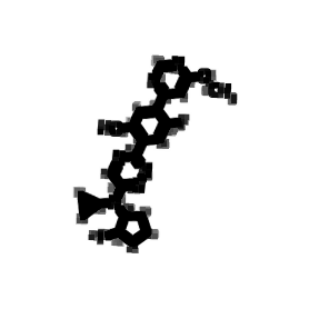 COc1cc(-c2cc(O)c(-c3ncc(N(C4CC4)C4CCCC4F)nn3)cc2F)ncn1